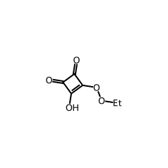 CCOOc1c(O)c(=O)c1=O